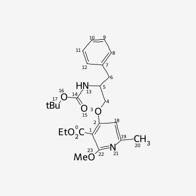 CCOC(=O)c1c(OCC(Cc2ccccc2)NC(=O)OC(C)(C)C)cc(C)nc1OC